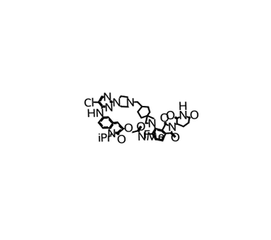 CNC(=O)COc1cc2cc(Nc3nc(N4CCN(CC5CCC6(CC5)CN(c5c(F)ccc7c5C(=O)N(C5CCC(=O)NC5=O)C7=O)C6)CC4)ncc3Cl)ccc2n(C(C)C)c1=O